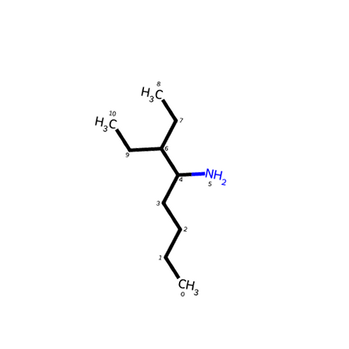 CCCCC(N)C(CC)CC